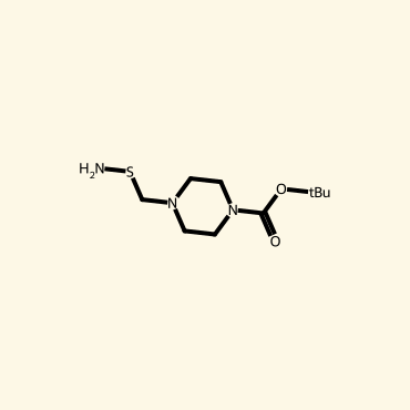 CC(C)(C)OC(=O)N1CCN(CSN)CC1